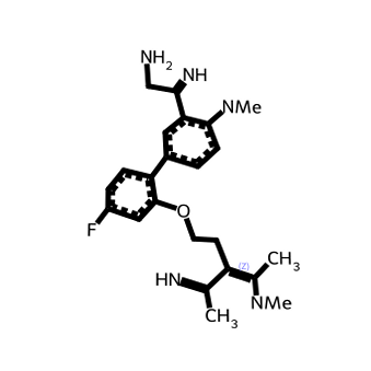 CN/C(C)=C(/CCOc1cc(F)ccc1-c1ccc(NC)c(C(=N)CN)c1)C(C)=N